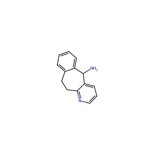 NC1c2ccccc2CCc2ncccc21